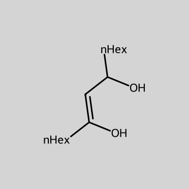 CCCCCC/C(O)=C/C(O)CCCCCC